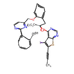 CC#Cc1sc2ncnc(O[C@H](Cc3ccccc3OCc3ccnc(-c4ccccc4OC)n3)C(=O)OCC)c2c1I